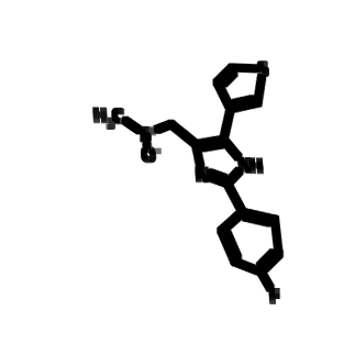 C[S+]([O-])Cc1nc(-c2ccc(F)cc2)[nH]c1-c1ccsc1